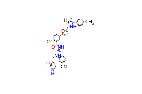 Cc1ccc([C@@H](C)NCc2ccc(-c3ccc(Cl)c(C(=O)N[C@@H](CNCC4C5CNC[C@H]45)Cc4ccc(C#N)cc4)c3)o2)cc1